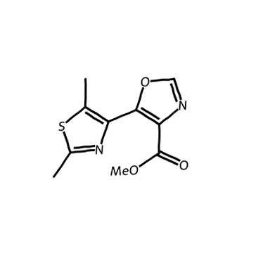 COC(=O)c1ncoc1-c1nc(C)sc1C